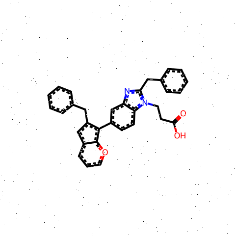 O=C(O)CCn1c(Cc2ccccc2)nc2cc(-c3c(Cc4ccccc4)cc4cccoc3-4)ccc21